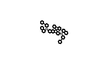 c1ccc(-c2cccc(N(c3ccc4c(c3)C3(c5ccccc5-c5ccccc53)c3cc5cc(N(c6cccc(-c7ccccc7)c6)c6cccc7ccccc67)ccc5cc3-4)c3cccc4ccccc34)c2)cc1